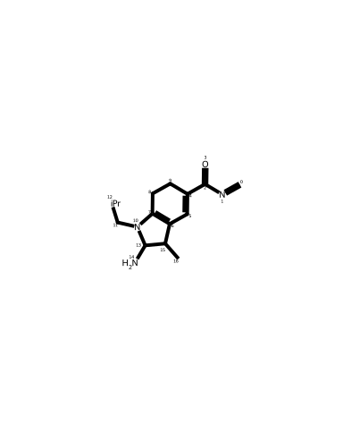 C=NC(=O)C1=CC2=C(CC1)N(CC(C)C)C(N)C2C